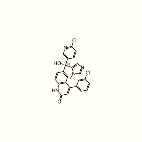 Cn1cncc1[C@](O)(c1ccc(Cl)nc1)c1ccc2[nH]c(=O)cc(-c3cccc(Cl)c3)c2c1